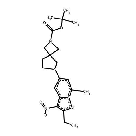 CCc1nn2c(C)cc(N3CCC4(CN(C(=O)OC(C)(C)C)C4)C3)cc2c1[N+](=O)[O-]